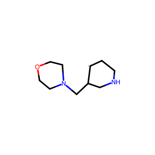 [CH]1CCNCC1CN1CCOCC1